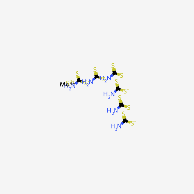 NC(=S)[S-].NC(=S)[S-].NC(=S)[S-].NC(=S)[S-].NC(=S)[S-].NC(=S)[S-].[Mo+4].[S+2]